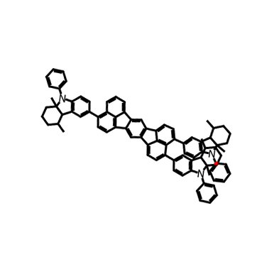 CC1CCCC2(C)C1c1cc(-c3ccc4c5cc6c(cc5c5cccc3c54)c3ccc(-c4ccc5c(c4)C4C(C)CCCC4(C)N5c4ccccc4)c4c(-c5ccc7c(c5)C5C(C)CCCC5(C)N7c5ccccc5)ccc6c43)ccc1N2c1ccccc1